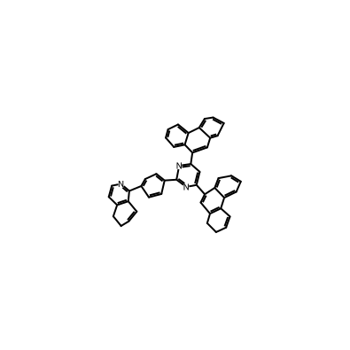 C1=Cc2c(ccnc2-c2ccc(-c3nc(-c4cc5c(c6ccccc46)C=CCC5)cc(-c4cc5ccccc5c5ccccc45)n3)cc2)CC1